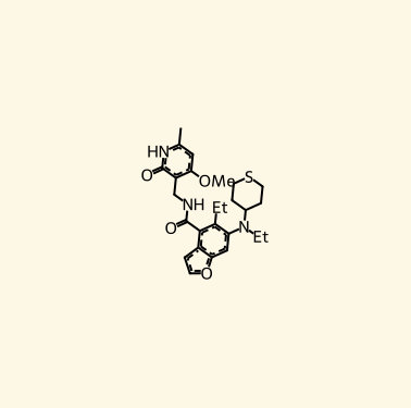 CCc1c(N(CC)C2CCSCC2)cc2occc2c1C(=O)NCc1c(OC)cc(C)[nH]c1=O